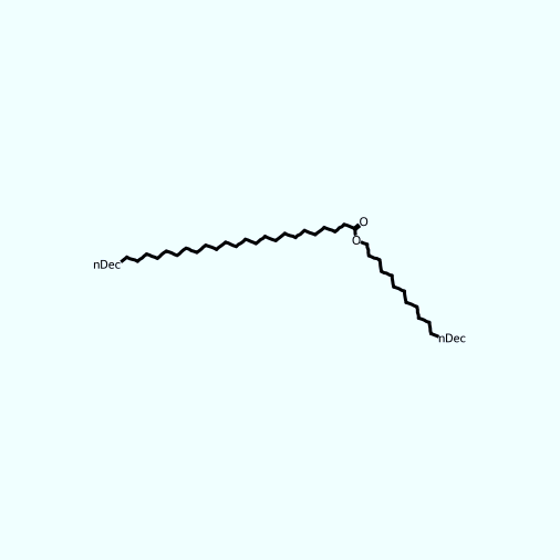 CCCCCCCCCCCCCCCCCCCCCCCCCCCCCCCCCC(=O)OCCCCCCCCCCCCCCCCCCCCCC